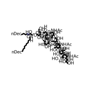 CCCCCCCCCCCCC/C=C/[C@@H](O)[C@H](CO[C@@H]1OC(CO)[C@@H](O[C@@H]2OC(CO)[C@H](O)[C@H](O[C@@H]3OC(CO)[C@@H](O[C@@H]4OC(CO[C@@H]5OC(CO)[C@@H](O)[C@H](O)C5NC(C)=O)[C@H](O)[C@H](O[C@H]5OC(CO)[C@@H](O[C@@H]6OC(CO)[C@H](O)[C@H](O[C@]7(C(=O)O)CC(O)[C@@H](NC(C)=O)C([C@H](O)[C@H](O)CO)O7)C6O)[C@H](O)C5NC(C)=O)C4O)[C@H](O)C3NC(C)=O)C2O)[C@H](O)C1O)NC(=O)CCCCCCCCCCCCCCCCCCC